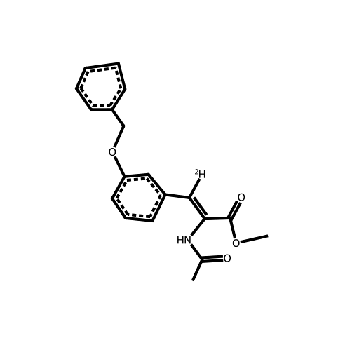 [2H]/C(=C(/NC(C)=O)C(=O)OC)c1cccc(OCc2ccccc2)c1